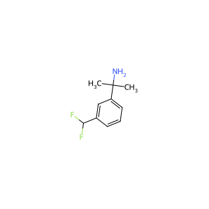 CC(C)(N)c1cccc(C(F)F)c1